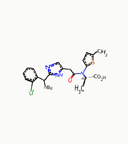 CCCCC(c1ncc(CC(=O)N(c2ccc(C)s2)[C@@H](C)C(=O)O)[nH]1)c1ccccc1Cl